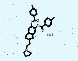 Cc1ccc(C(=O)Oc2cc3ccc(CCN4CCCC4)cc3cc2OC(=O)c2ccc(C)cc2)cc1.Cl